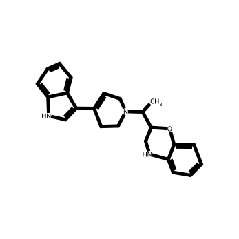 CC(C1CNc2ccccc2O1)N1CC=C(c2c[nH]c3ccccc23)CC1